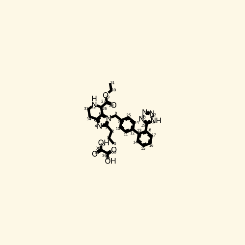 CCCc1nc2c(n1Cc1ccc(-c3ccccc3-c3nnn[nH]3)cc1)C(C(=O)OCC)NCC2.O=C(O)C(=O)O